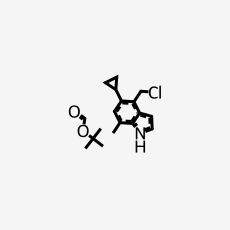 CC(C)(C)OC=O.Cc1cc(C2CC2)c(CCl)c2cc[nH]c12